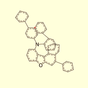 c1ccc(-c2ccc(N(c3ccccc3-c3ccccc3)c3cccc4oc5cc(-c6ccccc6)c6ccccc6c5c34)cc2)cc1